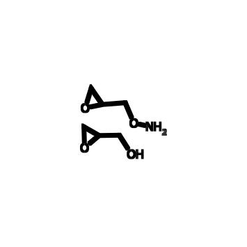 NOCC1CO1.OCC1CO1